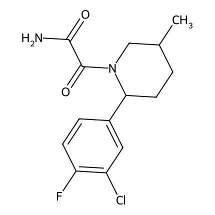 CC1CCC(c2ccc(F)c(Cl)c2)N(C(=O)C(N)=O)C1